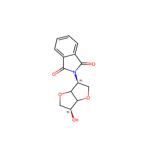 O=C1c2ccccc2C(=O)N1[C@H]1COC2C1OC[C@@H]2O